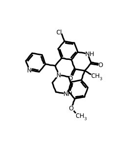 COc1ccc(C2(C)C(=O)Nc3cc(Cl)cc(C(c4cccnc4)N4CCNCC4)c3C2=O)cc1